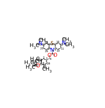 Cc1cc(COC(=O)N2c3ccc(N(C)C)cc3Sc3cc(N(C)C)ccc32)cc(C)c1O[Si](C)(C)C